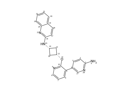 Nc1ccc(-c2cccnc2O[C@H]2C[C@@H](Nc3ccc4ccccc4n3)C2)cn1